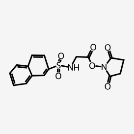 O=C(CNS(=O)(=O)c1ccc2ccccc2c1)ON1C(=O)CCC1=O